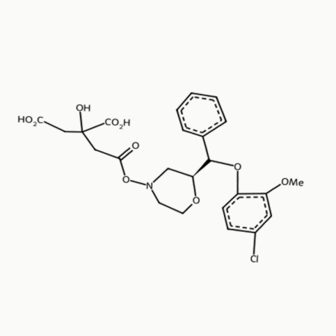 COc1cc(Cl)ccc1OC(c1ccccc1)[C@@H]1CN(OC(=O)CC(O)(CC(=O)O)C(=O)O)CCO1